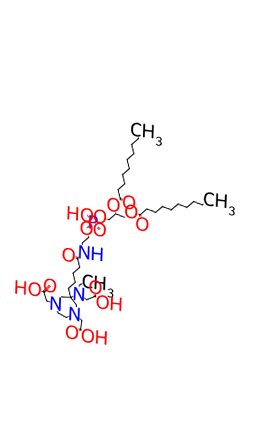 CCCCCCCCCC(=O)OCC(COP(=O)(O)OCCNC(=O)CCCCC1(N(CC)CC(=O)O)CN(CC(=O)O)CCN(CC(=O)O)C1)OC(=O)CCCCCCCCC